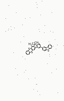 CC1(C)c2ccc(-c3ccc4sc5ccccc5c4c3)cc2-c2cc3c(cc21)Sc1ccccc1S3